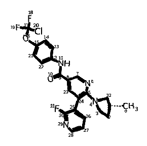 C[C@@H]1CCN(c2ncc(C(=O)Nc3ccc(OC(F)(F)Cl)cc3)cc2-c2cccnc2F)C1